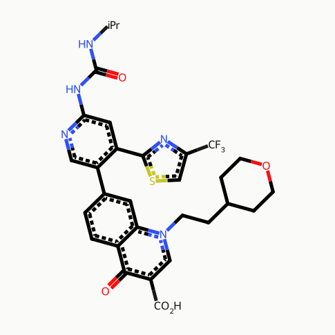 CC(C)NC(=O)Nc1cc(-c2nc(C(F)(F)F)cs2)c(-c2ccc3c(=O)c(C(=O)O)cn(CCC4CCOCC4)c3c2)cn1